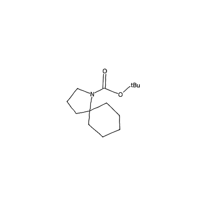 CC(C)(C)OC(=O)N1CCCC12CCCCC2